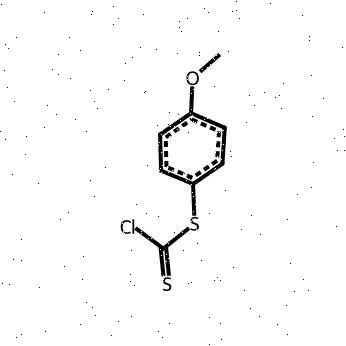 COc1ccc(SC(=S)Cl)cc1